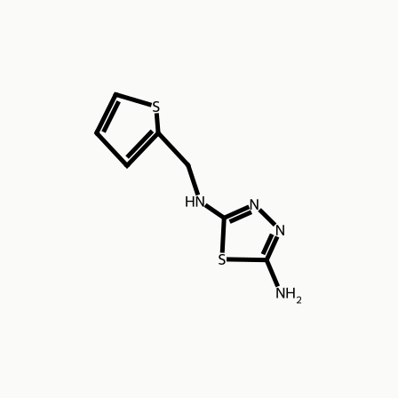 Nc1nnc(NCc2cccs2)s1